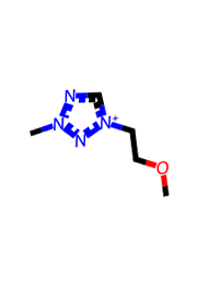 COCC[n+]1cnn(C)n1